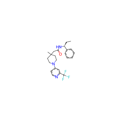 CC[C@H](NC(=O)CC1(C)CCN(c2ccnc(C(F)(F)F)c2)CC1)c1ccccc1